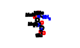 CNc1cc2c(cc1C(=O)N(C(C)C)[C@@H]1CCCN(OC(=O)C(C)(C)C)C1)N(CCN)C(=O)C(NC)(NC)O2